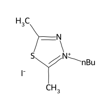 CCCC[n+]1nc(C)sc1C.[I-]